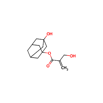 C=C(CO)C(=O)OC12CC3CC(CC(O)(C3)C1)C2